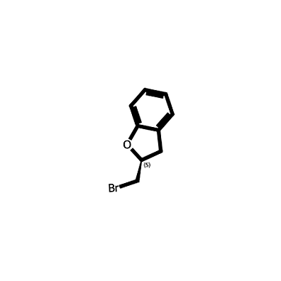 BrC[C@@H]1Cc2ccccc2O1